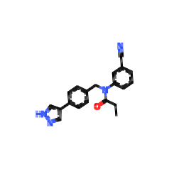 CCC(=O)N(Cc1ccc(-c2cn[nH]c2)cc1)c1cccc(C#N)c1